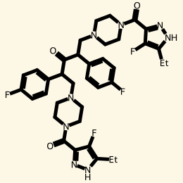 CCc1[nH]nc(C(=O)N2CCN(CC(C(=O)C(CN3CCN(C(=O)c4n[nH]c(CC)c4F)CC3)c3ccc(F)cc3)c3ccc(F)cc3)CC2)c1F